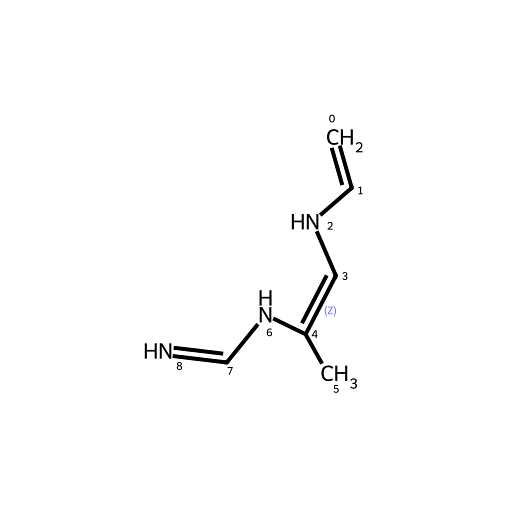 C=CN/C=C(/C)NC=N